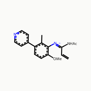 C=C/C(=N\c1c(OC)ccc(-c2ccncc2)c1C)NC(C)=O